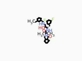 CCc1cccc(CNC[C@H](O)[C@H](Cc2cc(F)cc(F)c2)NC(=O)C(C)(C)N2Cc3ccccc3C2=O)c1